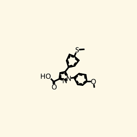 COc1ccc(-n2nc(C(=O)O)cc2-c2ccc(SC)cc2)cc1